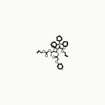 C=CCOC(=O)O[C@H](C)[C@H]1C(=O)N(C(C(=O)OCC=C)=P(c2ccccc2)(c2ccccc2)c2ccccc2)[C@@H]1SC(=O)COc1ccccc1